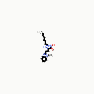 CCCCCCCCN[C@@H](CCc1nc2ccccc2n1C)C(=O)NO